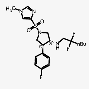 CCCCC(F)(F)CN[C@H]1CN(S(=O)(=O)c2cn(C)cn2)C[C@@H]1c1ccc(F)cc1